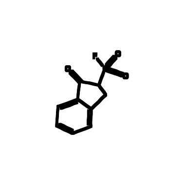 O=C1c2ccccc2CC1S(=O)(=O)F